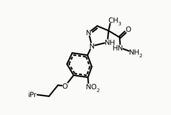 CC(C)CCOc1ccc(N2N=CC(C)(C(=O)NN)N2)cc1[N+](=O)[O-]